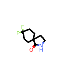 O=C1NCCC12CCC(F)(F)CC2